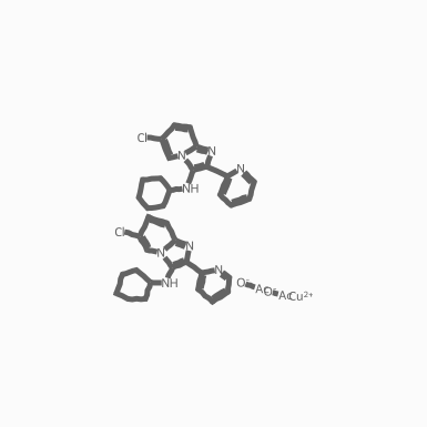 CC(=O)[O-].CC(=O)[O-].Clc1ccc2nc(-c3ccccn3)c(NC3CCCCC3)n2c1.Clc1ccc2nc(-c3ccccn3)c(NC3CCCCC3)n2c1.[Cu+2]